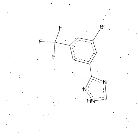 FC(F)(F)c1cc(Br)cc(-c2nc[nH]n2)c1